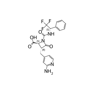 Nc1cc(C[C@H]2C(=O)N(C(=O)N[C@@H](c3ccccc3)C(F)(F)F)[C@@H]2C(=O)O)ccn1